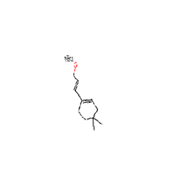 CCCCOC/C=C/C1=CCC(C)(C)CC1